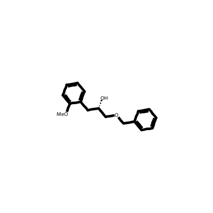 COc1ccccc1C[C@H](O)COCc1ccccc1